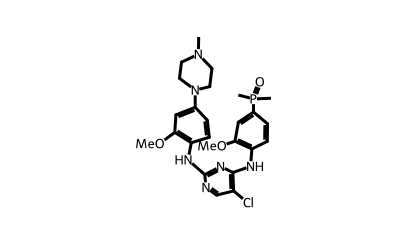 COc1cc(N2CCN(C)CC2)ccc1Nc1ncc(Cl)c(Nc2ccc(P(C)(C)=O)cc2OC)n1